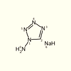 Nn1cnnn1.[NaH]